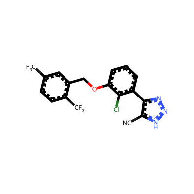 N#Cc1[nH]nnc1-c1cccc(OCc2cc(C(F)(F)F)ccc2C(F)(F)F)c1Cl